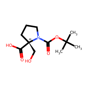 CC(C)(C)OC(=O)N1CCC[C@@]1(CO)C(=O)O